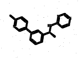 Cc1ccc(-c2cccc([C@H](C)Nc3ccncn3)c2)cn1